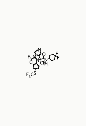 C[C@@](C(=O)NC1CCC(F)(F)CC1)(c1cccnc1)N(C(=O)[C@H](F)Cl)c1ccc(SC(F)(F)F)cc1